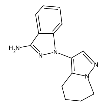 Nc1nn(-c2cnn3c2CCCC3)c2ccccc12